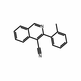 Cc1ccccc1-c1ncc2ccccc2c1C#N